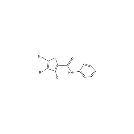 [O]c1c(C(=O)Nc2ccccc2)sc(Br)c1Br